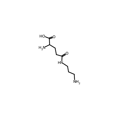 NCCCNC(=O)CCC(N)C(=O)O